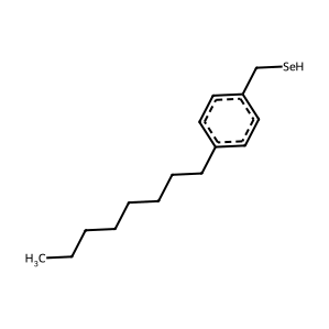 CCCCCCCCc1ccc(C[SeH])cc1